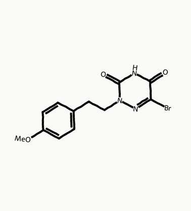 COc1ccc(CCn2nc(Br)c(=O)[nH]c2=O)cc1